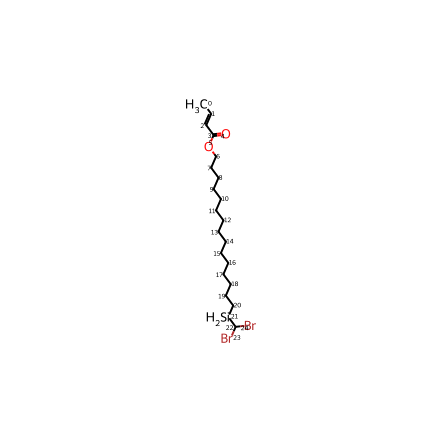 CC=CC(=O)OCCCCCCCCCCCCCCC[SiH2]C(Br)Br